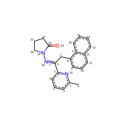 Cc1cccc(/C(Cc2cccc3ccccc23)=N/N2CCCC2=O)n1